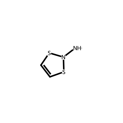 [NH]N1SC=CS1